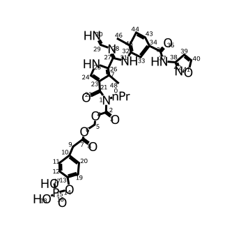 CCCN(C(=O)OCOC(=O)Cc1ccc(OP(=O)(O)O)cc1)C(=O)c1c[nH]c(/C(=N\C=N)Nc2cc(C(=O)Nc3ccon3)ccc2C)c1C